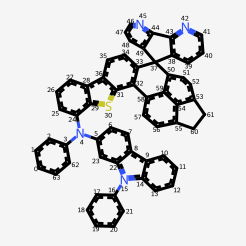 c1ccc(N(c2ccc3c4ccccc4n(-c4ccccc4)c3c2)c2cccc3c2sc2c4c(ccc23)C2(c3cccnc3-c3ncccc32)c2ccc3c5c(ccc-4c25)CC3)cc1